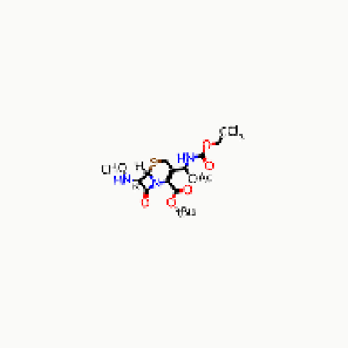 CC(=O)OC(NC(=O)OCC(Cl)(Cl)Cl)C1=C(C(=O)OC(C)(C)C)N2C(=O)[C@H](NC=O)[C@H]2SC1